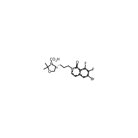 CC1(C)OC[C@@H](CCCn2ccc3cc(Br)c(F)c(F)c3c2=O)N1C(=O)O